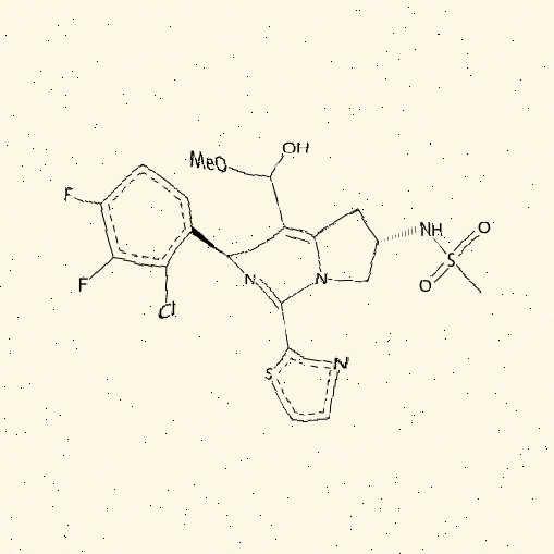 COC(O)C1=C2C[C@H](NS(C)(=O)=O)CN2C(c2nccs2)=N[C@H]1c1ccc(F)c(F)c1Cl